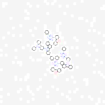 c1ccc(-c2nc(-c3ccccc3)nc(-c3cccc(-n4c5ccccc5c5cc(-c6ccc7oc8cccc(-c9nc(-c%10ccccc%10)nc(-c%10ccc(-c%11ccc%12c(c%11)c%11cc(-c%13ccc%14oc%15cccc(-c%16nc(-c%17ccccc%17)nc(-c%17ccccc%17)n%16)c%15c%14c%13)ccc%11n%12-c%11ccc%12c(c%11)c%11ccccc%11n%12-c%11ccccc%11)cc%10)n9)c8c7c6)ccc54)c3)n2)cc1